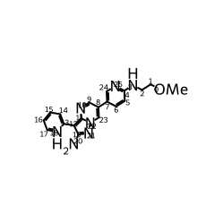 COCCNc1ccc(-c2cnc3c(-c4ccccn4)c(N)nn3c2)cn1